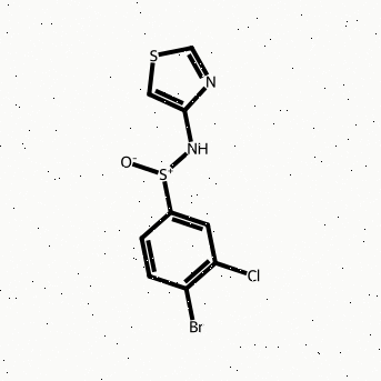 [O-][S+](Nc1cscn1)c1ccc(Br)c(Cl)c1